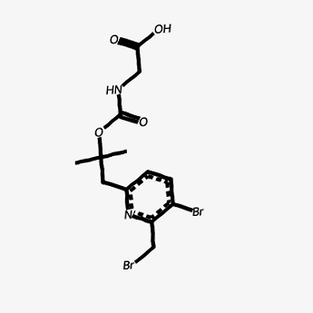 CC(C)(Cc1ccc(Br)c(CBr)n1)OC(=O)NCC(=O)O